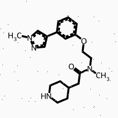 CN(CCOc1c[c]cc(-c2cnn(C)c2)c1)C(=O)CC1CCNCC1